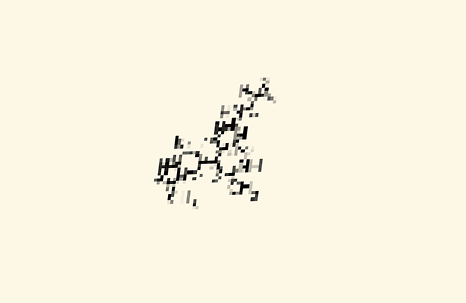 Cc1cnc2c(F)cc(C3=C[C@@H](C)NCc4nc(NCC5(F)CC5)ncc43)cn12